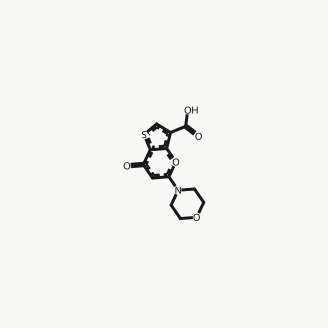 O=C(O)c1csc2c(=O)cc(N3CCOCC3)oc12